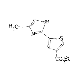 CCOC(=O)c1csc(-c2nc(C)c[nH]2)n1